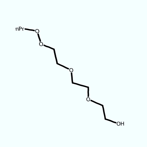 CCCOOCCOCCOCCO